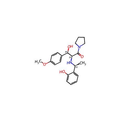 COc1ccc([C@@H](O)[C@H](N[C@@H](C)c2ccccc2O)C(=O)N2CCCC2)cc1